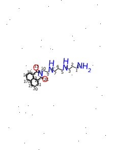 NCCCNCCCNCCN1C(=O)c2cccc3cccc(c23)C1=O